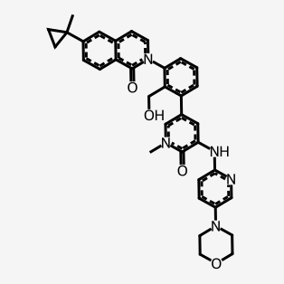 Cn1cc(-c2cccc(-n3ccc4cc(C5(C)CC5)ccc4c3=O)c2CO)cc(Nc2ccc(N3CCOCC3)cn2)c1=O